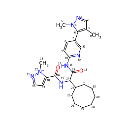 Cc1cnn(C)c1-c1ccc(NC(=O)C(NC(=O)C2=CC=[N+]=[N+]2C)C2CCCCCCC2)nc1